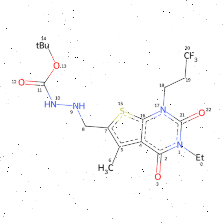 CCn1c(=O)c2c(C)c(CNNC(=O)OC(C)(C)C)sc2n(CCC(F)(F)F)c1=O